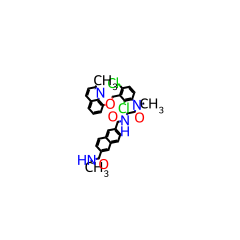 CNC(=O)c1ccc2cc(C(=O)NCC(=O)N(C)c3ccc(Cl)c(COc4cccc5ccc(C)nc45)c3Cl)ccc2c1